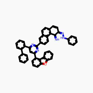 N=C1/C(=N\Nc2ccccc2)C=Cc2ccc3cc(-c4nc(-c5ccccc5-c5ccccc5)cc(-c5cccc6oc7ccccc7c56)n4)ccc3c21